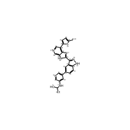 CCC(O)Nc1cncc(-c2ccc3[nH]nc(-c4nc5c(-c6ccc(F)s6)cncc5[nH]4)c3c2)c1